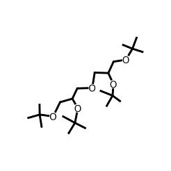 CC(C)(C)OCC(COCC(COC(C)(C)C)OC(C)(C)C)OC(C)(C)C